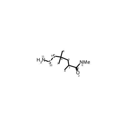 CNC(=O)C(C)CC(C)(C)SSN